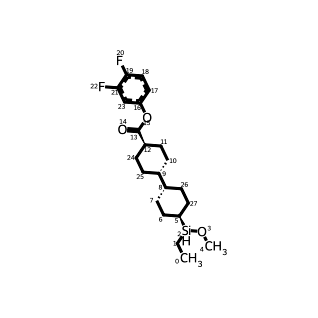 CC[SiH](OC)[C@H]1CC[C@H]([C@H]2CC[C@H](C(=O)Oc3ccc(F)c(F)c3)CC2)CC1